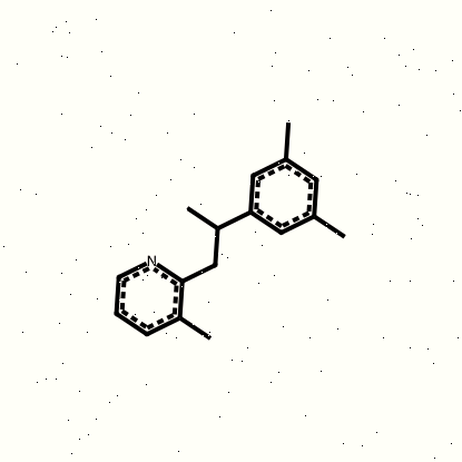 Cc1cc(C)cc(C(C)Cc2ncccc2C)c1